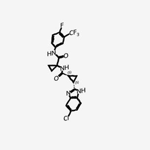 O=C(NC1(C(=O)Nc2ccc(F)c(C(F)(F)F)c2)CC1)[C@H]1C[C@@H]1c1nc2cc(Cl)ccc2[nH]1